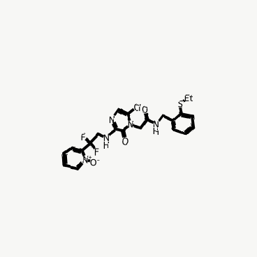 CCSc1ccccc1CNC(=O)Cn1c(Cl)cnc(NCC(F)(F)c2cccc[n+]2[O-])c1=O